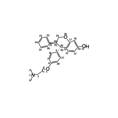 CN(C)CCOc1ccc([C@H]2c3ccc(O)cc3OC[C@@H]2c2ccccc2)cc1